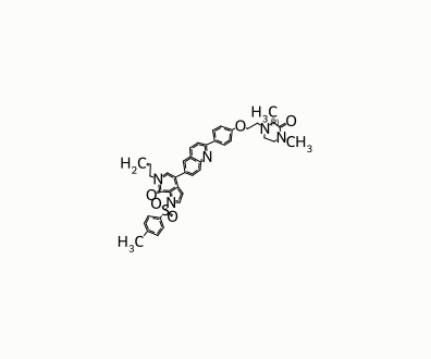 C=CCn1cc(-c2ccc3nc(-c4ccc(OCCN5CCN(C)C(=O)[C@H]5C)cc4)ccc3c2)c2ccn(S(=O)(=O)c3ccc(C)cc3)c2c1=O